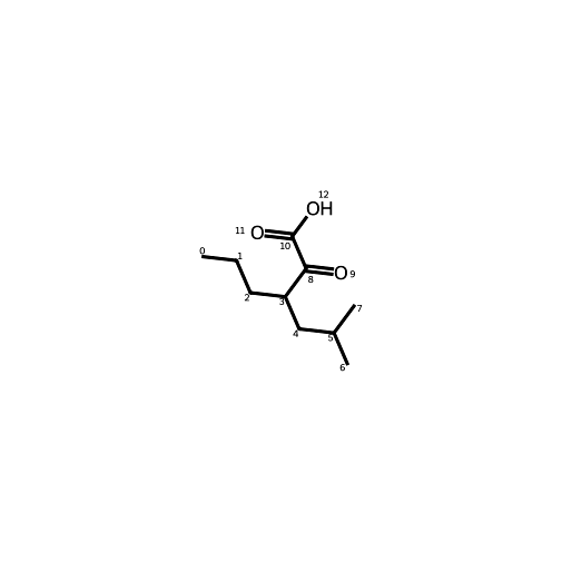 CCCC(CC(C)C)C(=O)C(=O)O